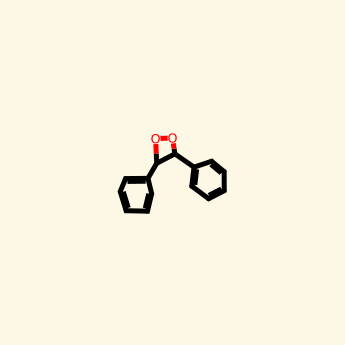 c1ccc(C2OOC2c2ccccc2)cc1